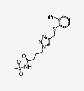 CC(C)c1ccccc1SCc1cn(CCCC(=O)NS(C)(=O)=O)nn1